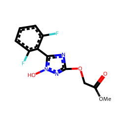 COC(=O)COc1nc(-c2c(F)cccc2F)n(O)n1